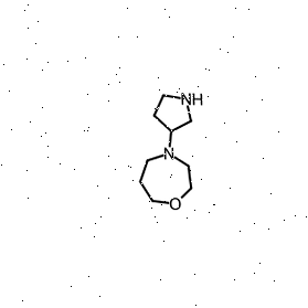 C1COCCN(C2CCNC2)C1